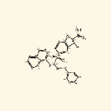 Cc1c(C(=O)O)oc2ccc(S(=O)(=O)N(CCc3ccccc3)Cc3cccc4cccnc34)cc12